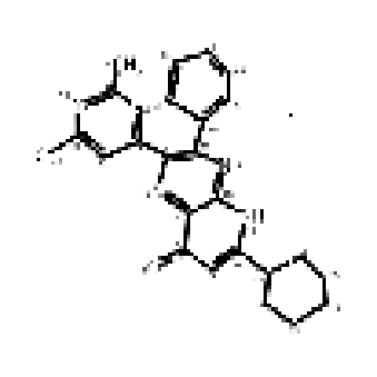 Cc1cc(-c2nc3c(=O)cc(C4CCCCC4)[nH]c3nc2-c2ccccc2)cc(Cl)n1